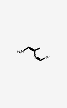 CCC/C=N\C(C)=C/N